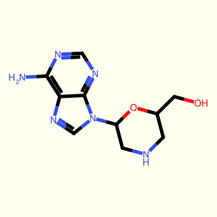 Nc1ncnc2c1ncn2C1CNCC(CO)O1